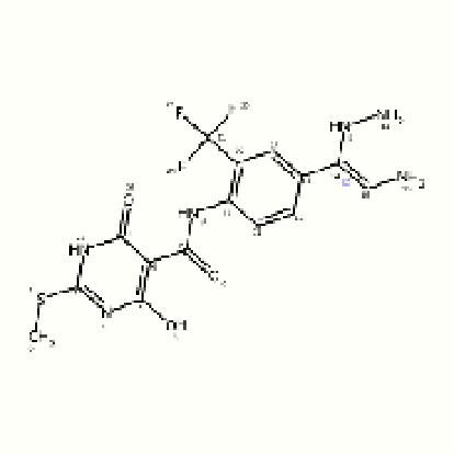 CSc1nc(O)c(C(=O)Nc2ccc(/C(=C/N)NN)cc2C(F)(F)F)c(=O)[nH]1